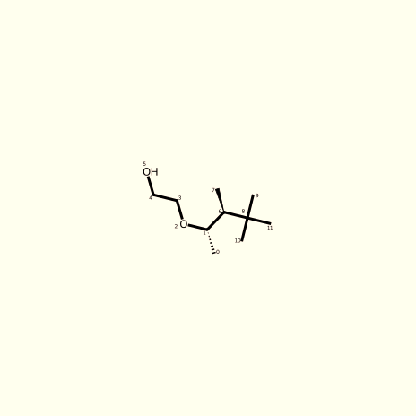 C[C@H](OCCO)[C@@H](C)C(C)(C)C